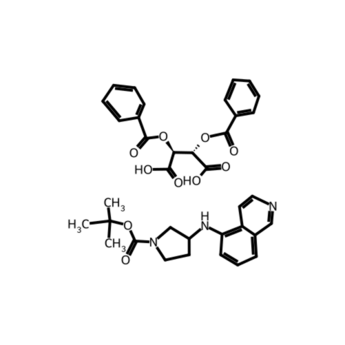 CC(C)(C)OC(=O)N1CCC(Nc2cccc3cnccc23)C1.O=C(O[C@H](C(=O)O)[C@H](OC(=O)c1ccccc1)C(=O)O)c1ccccc1